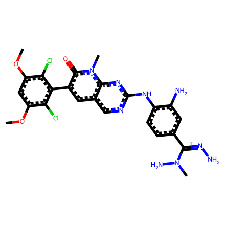 COc1cc(OC)c(Cl)c(-c2cc3cnc(Nc4ccc(/C(=N/N)N(C)N)cc4N)nc3n(C)c2=O)c1Cl